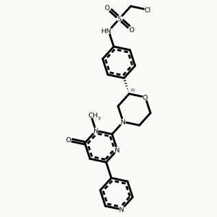 Cn1c(N2CCO[C@@H](c3ccc(NS(=O)(=O)CCl)cc3)C2)nc(-c2ccncc2)cc1=O